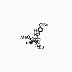 CCCC[C@@H](C(=O)OC(C)(C)C)N(CC(OC)OC)C(=O)[C@@H](N)Cc1ccc(OCC(C)C)cc1